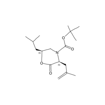 C=C(C)C[C@H]1C(=O)O[C@@H](CC(C)C)CN1C(=O)OC(C)(C)C